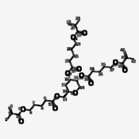 C=C(C)C(=O)OCCCCC(=O)OC[C@H]1C[C@H](OC(=O)CCCCOC(=O)C(=C)C)[C@H](OC(=O)CCCCOC(=O)C(=C)C)CO1